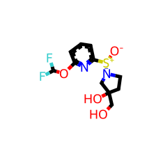 [O-][S+](c1cccc(OC(F)F)n1)N1CCC(O)(CO)C1